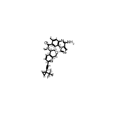 Cc1cc2nc(N)c3cncn3c2cc1C(=O)N(C)C1COCc2nc(C#CC3(C(F)(F)F)CC3)ccc21